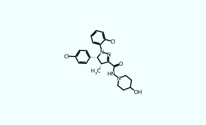 C[C@H]1C(C(=O)NN2CCC(O)CC2)=NN(c2ccccc2Cl)[C@H]1c1ccc(Cl)cc1